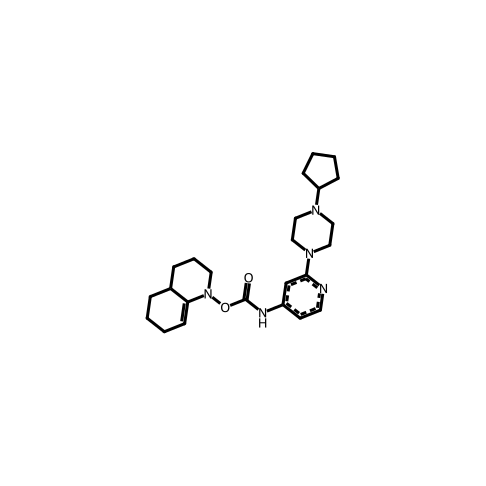 O=C(Nc1ccnc(N2CCN(C3CCCC3)CC2)c1)ON1CCCC2CCCC=C21